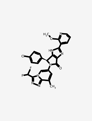 COc1ncccc1-c1nc2c([nH]1)[C@H](c1ccc(Cl)cc1)N(c1cc(C)c3nnc(C(F)F)n3c1)C2=O